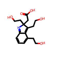 O=C(O)CC1(CCO)N=c2cccc(CCO)c2=C1CCO